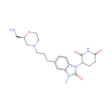 Cn1c(=O)n(C2CCC(=O)NC2=O)c2ccc(CCCN3CCO[C@H](CN)C3)cc21